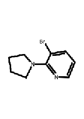 Brc1cccnc1N1CCCC1